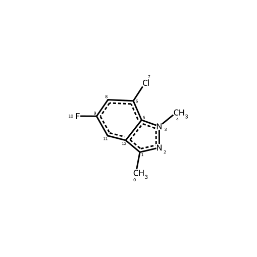 Cc1nn(C)c2c(Cl)cc(F)cc12